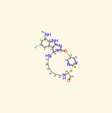 CNc1cc(F)cc2c1[nH]c1nc3nc(c12)NCCCCCCNC(C=O)Sc1ncc(cn1)O3